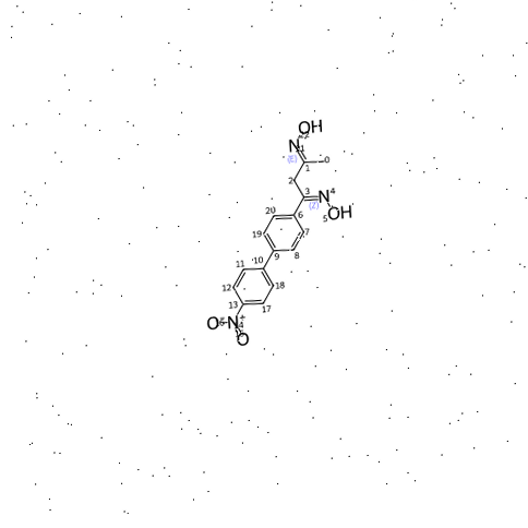 C/C(C/C(=N/O)c1ccc(-c2ccc([N+](=O)[O-])cc2)cc1)=N\O